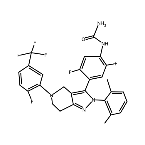 Cc1cccc(C)c1-n1nc2c(c1-c1cc(F)c(NC(N)=O)cc1F)CN(c1cc(C(F)(F)F)ccc1F)CC2